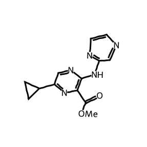 COC(=O)c1nc(C2CC2)cnc1Nc1cnccn1